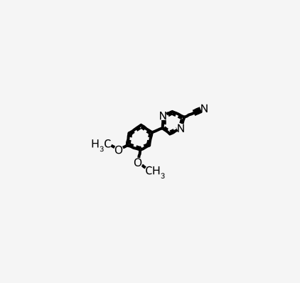 COc1ccc(-c2cnc(C#N)cn2)cc1OC